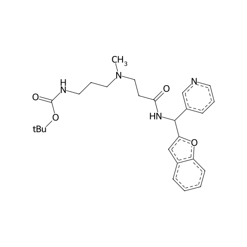 CN(CCCNC(=O)OC(C)(C)C)CCC(=O)NC(c1cccnc1)c1cc2ccccc2o1